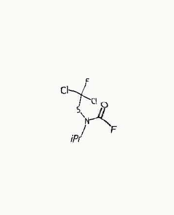 CC(C)N(SC(F)(Cl)Cl)C(=O)F